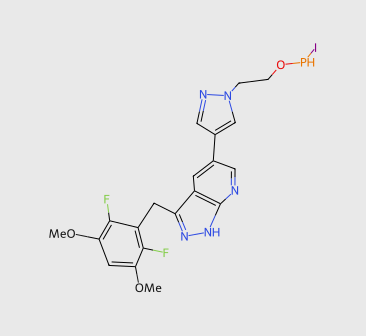 COc1cc(OC)c(F)c(Cc2n[nH]c3ncc(-c4cnn(CCOPI)c4)cc23)c1F